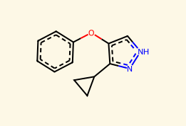 c1ccc(Oc2c[nH]nc2C2CC2)cc1